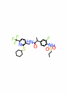 CCCS(=O)(=O)Nc1ccc(C(C)C(=O)NCc2ccc(C(F)(F)F)nc2SC2CCCCC2)cc1F